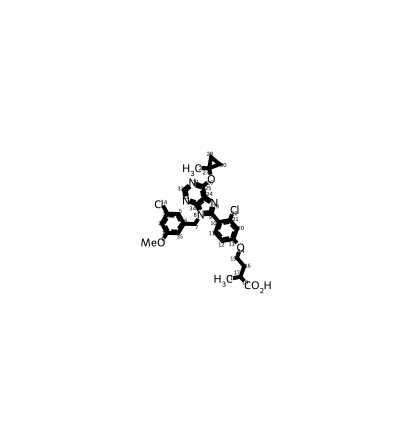 COc1cc(Cl)cc(Cn2c(-c3ccc(OCCC(C)C(=O)O)cc3Cl)nc3c(OC4(C)CC4)ncnc32)c1